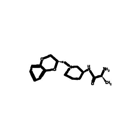 C[C@@H](N)C(=O)N[C@H]1CCCN(C[C@H]2COc3ccccc3O2)C1